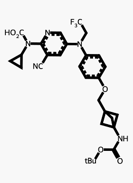 CC(C)(C)OC(=O)NC12CC(COc3ccc(N(CC(F)(F)F)c4cnc(N(C(=O)O)C5CC5)c(C#N)c4)cc3)(C1)C2